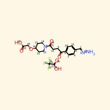 NN=Cc1ccc(C(=O)CCC(=O)N2CCC(OCC(=O)O)CC2)cc1.O=C(O)C(F)(F)F